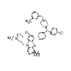 CN(C)CCCN1c2ccccc2Sc2ccc(Cl)cc21.Cc1cccc(CN2CCN(C(c3ccccc3)c3ccc(Cl)cc3)CC2)c1.Cl.Cl